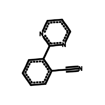 N#Cc1ccccc1-c1ncccn1